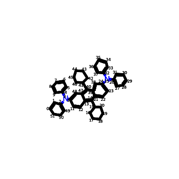 C1=CC(N(c2ccccc2)c2ccc3c(C4CCCCC4)c4ccc(N(c5ccccc5)c5ccccc5)cc4c(C4CCCCC4)c3c2)=CCC1